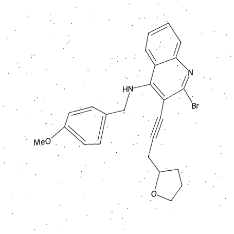 COc1ccc(CNc2c(C#CCC3CCCO3)c(Br)nc3ccccc23)cc1